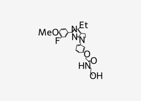 CCc1nc(-c2ccc(OC)c(F)c2)nc2c1CCN2c1cccc(OCC(=O)NCCO)c1